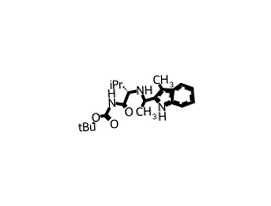 Cc1c(C(C)N[C@H](C(=O)NC(=O)OC(C)(C)C)C(C)C)[nH]c2ccccc12